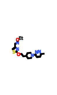 CCON=Cc1csc(OCCC2CCN(c3ccc(C)nn3)CC2)n1